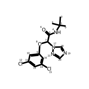 CC(C)(C)NC(=O)C(Oc1cc(Cl)cc(Cl)c1)n1cncn1